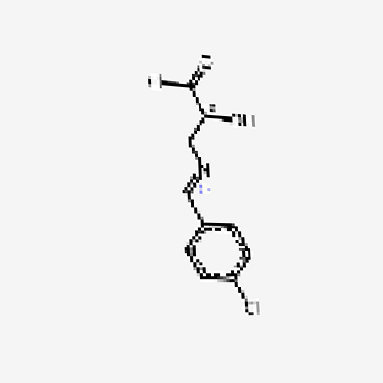 O=C(Cl)[C@@H](O)C/N=C/c1ccc(Cl)cc1